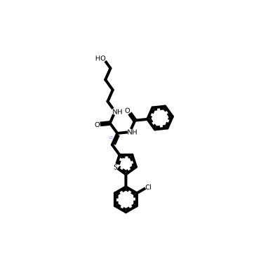 O=C(NCCCCO)/C(=C/c1ccc(-c2ccccc2Cl)s1)NC(=O)c1ccccc1